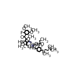 C=CC(=O)Nc1cc(N(C)CCN(C)C)ccc1N/C(C)=N/C=c1/oc(C(=O)c2c(C)c(OC)cc(OC)c2F)c(NC)c1=C(C)C